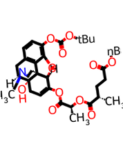 CCCCOC(=O)CC[C@H](C)C(=O)O[C@@H](C)C(=O)OC1=CC[C@@]2(O)[C@H]3Cc4ccc(OC(=O)OC(C)(C)C)c5c4[C@@]2(CCN3C)[C@H]1O5